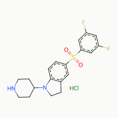 Cl.O=S(=O)(c1cc(F)cc(F)c1)c1ccc2c(c1)CCN2C1CCNCC1